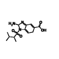 CC(C)C(C)S(=O)(=O)N1C2=CCC(C(=O)O)=CC2=NC1N